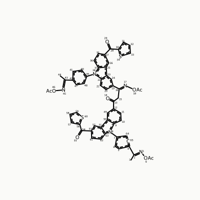 CC(=O)ON=C(C)c1ccc(-n2c3ccc(C(=O)C/C(=N\OC(C)=O)c4ccc5c(c4)c4cc(C(=O)c6cccs6)ccc4n5-c4ccc(C(C)=NOC(C)=O)cc4)cc3c3cc(C(=O)c4cccs4)ccc32)cc1